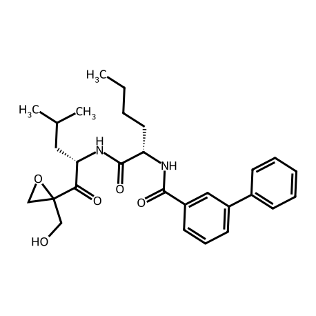 CCCC[C@H](NC(=O)c1cccc(-c2ccccc2)c1)C(=O)N[C@@H](CC(C)C)C(=O)C1(CO)CO1